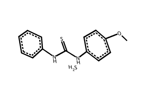 COc1ccc(NC(=S)Nc2ccccc2)cc1.S